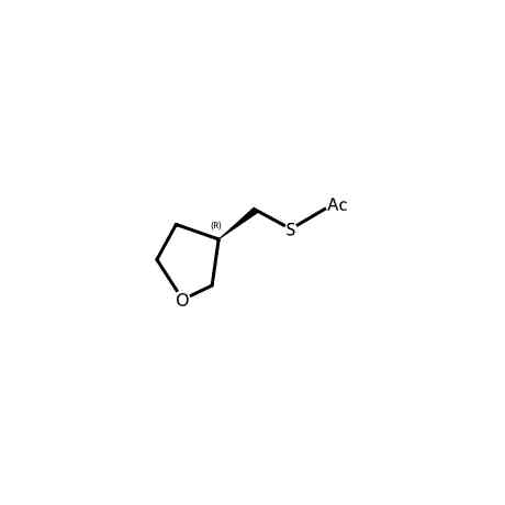 CC(=O)SC[C@@H]1CCOC1